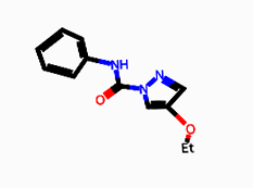 CCOc1cnn(C(=O)Nc2ccccc2)c1